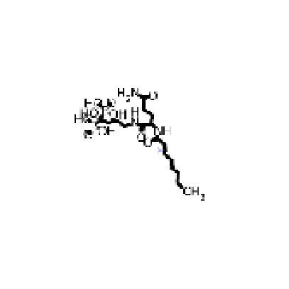 CCCCC/C=C/C(=O)NC(CCC(N)=O)C(=O)NCCCC(O)(P(=O)(O)O)P(=O)(O)O